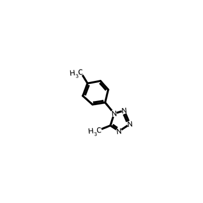 Cc1ccc(-n2nnnc2C)cc1